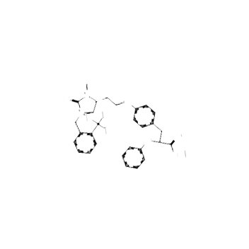 CN1C(=O)N(Cc2ccccc2C(F)(F)F)C[C@@H]1CCOc1ccc(C[C@](C)(Oc2ccccc2)C(=O)O)cc1